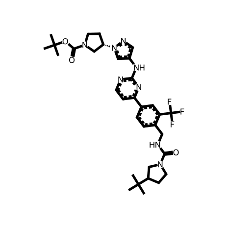 CC(C)(C)OC(=O)N1CC[C@H](n2cc(Nc3nccc(-c4ccc(CNC(=O)N5CCC(C(C)(C)C)C5)c(C(F)(F)F)c4)n3)cn2)C1